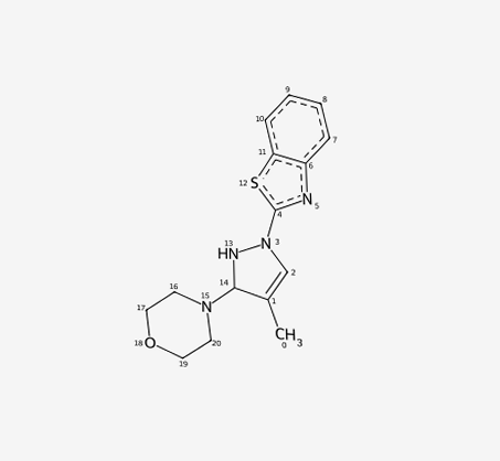 CC1=CN(c2nc3ccccc3s2)NC1N1CCOCC1